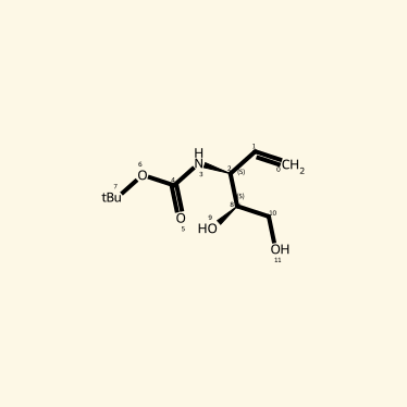 C=C[C@H](NC(=O)OC(C)(C)C)[C@H](O)CO